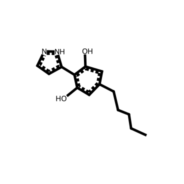 CCCCCc1cc(O)c(-c2ccn[nH]2)c(O)c1